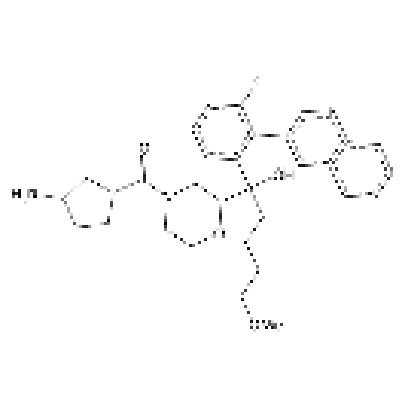 COCCCCC(O)(c1cccc(Cl)c1-c1cnc2ccccc2c1)C1CN(C(=O)C2CCC(N)C2)CCO1